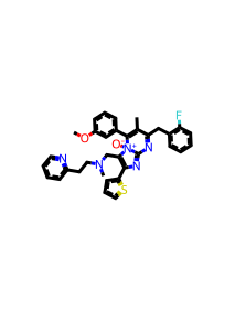 COc1cccc(C2=C(C)C(Cc3ccccc3F)=NC3=NC(c4cccs4)=C(CN(C)CCc4ccccn4)[N+]32[O-])c1